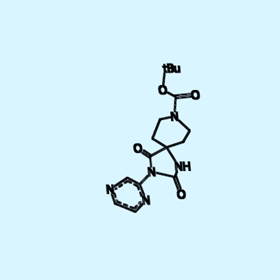 CC(C)(C)OC(=O)N1CCC2(CC1)NC(=O)N(c1cnccn1)C2=O